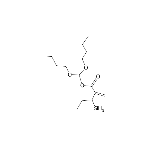 C=C(C(=O)OC(OCCCC)OCCCC)C([SiH3])CC